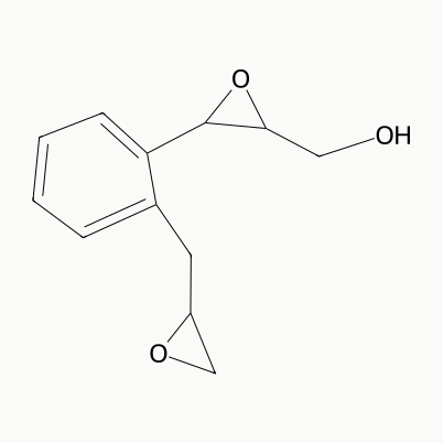 OCC1OC1c1ccccc1CC1CO1